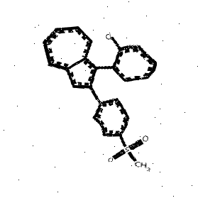 CS(=O)(=O)c1ccc(-c2cc3cccccc-3c2-c2ccccc2Cl)cc1